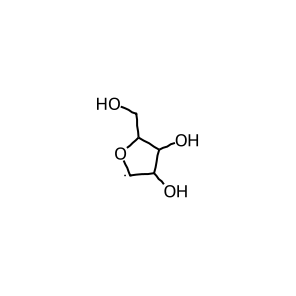 OCC1O[CH]C(O)C1O